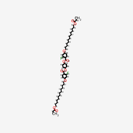 C=CC(=O)OCCCCCCCCCCCCCCOc1ccc(C(=O)Oc2ccc(OC(=O)c3ccc(OCCCCCCCCCCCCCCOC(=O)C=C)cc3F)cc2)c(F)c1